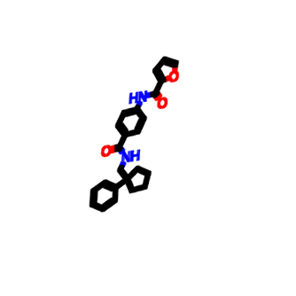 O=C(NCC1(c2ccccc2)CCCC1)c1ccc(NC(=O)c2ccco2)cc1